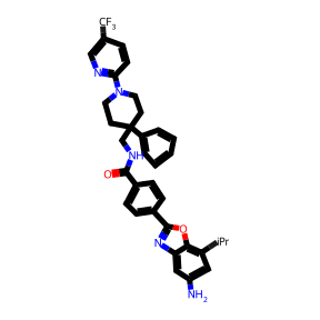 CC(C)c1cc(N)cc2nc(-c3ccc(C(=O)NCC4(c5ccccc5)CCN(c5ccc(C(F)(F)F)cn5)CC4)cc3)oc12